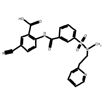 CN(CCc1ccccn1)S(=O)(=O)c1cccc(C(=O)Nc2ccc(C#N)cc2C(=O)O)c1